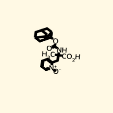 CC(Cc1cccc[n+]1[O-])(NC(=O)OC1C2CC3CC(C2)CC1C3)C(=O)O